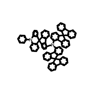 c1ccc(N2c3ccccc3C3(c4ccccc4-c4c(N(c5cccc6c5-c5ccccc5C65c6ccccc6-c6ccccc65)c5cccc6c5-c5ccccc5C65c6ccccc6-c6ccccc65)cccc43)c3ccccc32)cc1